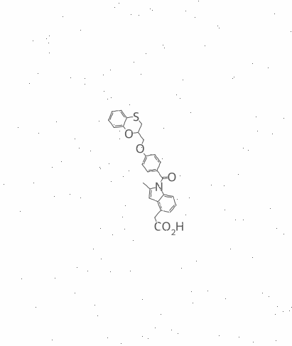 Cc1cc2c(CC(=O)O)cccc2n1C(=O)c1ccc(OCC2CSc3ccccc3O2)cc1